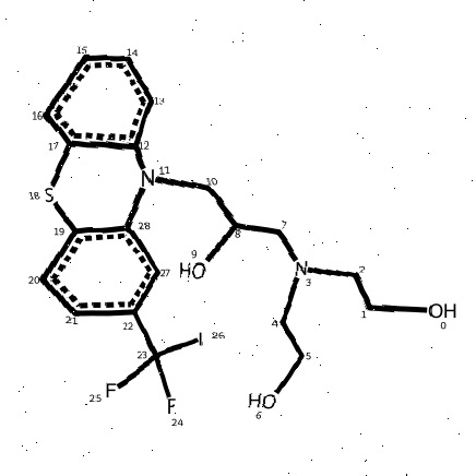 OCCN(CCO)CC(O)CN1c2ccccc2Sc2ccc(C(F)(F)I)cc21